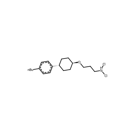 CCCCc1ccc([C@H]2CC[C@H](OCCC[SiH](Cl)Cl)CC2)cc1